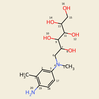 Cc1cc(N(C)CC(O)C(O)C(O)C(O)CO)ccc1N